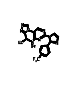 CCC1c2nncn2-c2cnc(-n3ccnc3-c3ccc(C(F)(F)F)cc3)nc2N1C(C)C